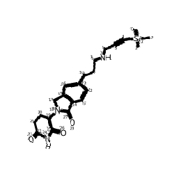 C[Si](C)(C)C#CCNCCCc1ccc2c(c1)CN(C1CCC(=O)NC1=O)C2=O